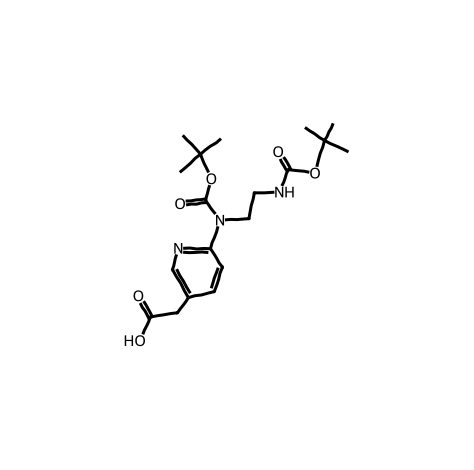 CC(C)(C)OC(=O)NCCN(C(=O)OC(C)(C)C)c1ccc(CC(=O)O)cn1